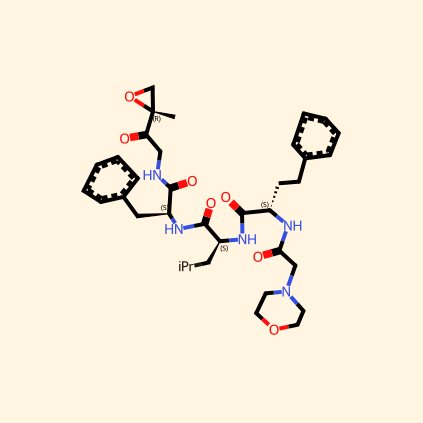 CC(C)C[C@H](NC(=O)[C@H](CCc1ccccc1)NC(=O)CN1CCOCC1)C(=O)N[C@@H](Cc1ccccc1)C(=O)NCC(=O)[C@@]1(C)CO1